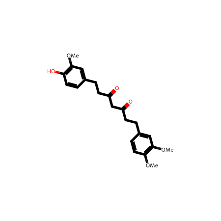 COc1cc(CCC(=O)CC(=O)CCc2ccc(OC)c(OC)c2)ccc1O